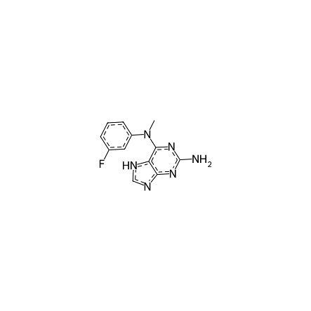 CN(c1cccc(F)c1)c1nc(N)nc2nc[nH]c12